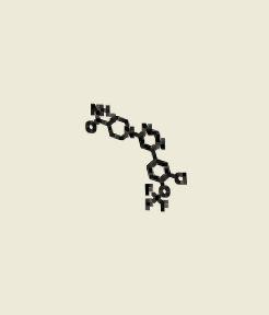 NC(=O)C1CCN(c2cc(-c3ccc(OC(F)(F)F)c(Cl)c3)ncn2)CC1